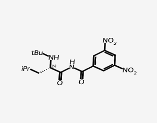 CC(C)C[C@H](NC(C)(C)C)C(=O)NC(=O)c1cc([N+](=O)[O-])cc([N+](=O)[O-])c1